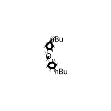 CCCC[C@H]1CC[C@H](COC[C@H]2CC[C@H](CCCC)CC2)CC1